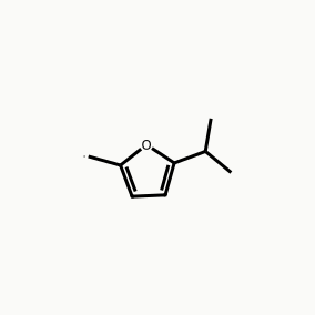 [CH2]c1ccc(C(C)C)o1